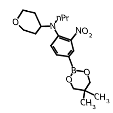 CCCN(c1ccc(B2OCC(C)(C)CO2)cc1[N+](=O)[O-])C1CCOCC1